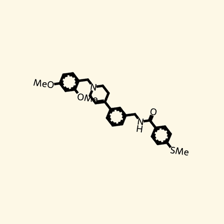 COc1ccc(CN2CC=C(c3cccc(CNC(=O)c4ccc(SC)cc4)c3)CC2)c(OC)c1